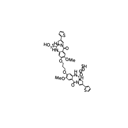 COc1cc2c(cc1OCCCOc1cc3c(cc1OC)C(=O)N1C=C(c4cccs4)C[C@H]1C(S(=O)(=O)O)N3)NC(OOOS)[C@@H]1CC(c3cccs3)=CN1C2=O